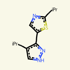 CC(C)c1ncc(-c2n[nH]cc2C(C)C)s1